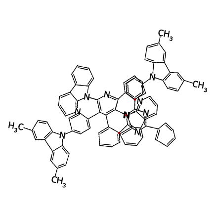 Cc1ccc2c(c1)c1cc(C)ccc1n2-c1ccc(-c2nc(-n3c4ccccc4c4cccnc43)c(-c3ccc(-n4c5ccc(C)cc5c5cc(C)ccc54)cc3)c(-c3ccccc3-c3nc(-c4ccccc4)nc(-c4ccccc4)n3)c2-n2c3ccccc3c3cccnc32)cc1